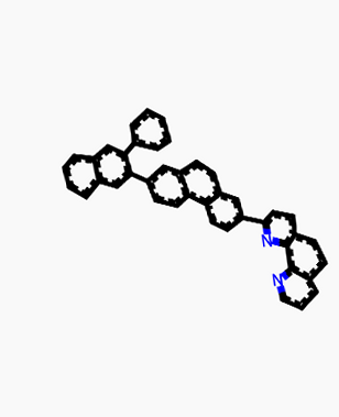 c1ccc(-c2cc3ccccc3cc2-c2ccc3c(ccc4cc(-c5ccc6ccc7cccnc7c6n5)ccc43)c2)cc1